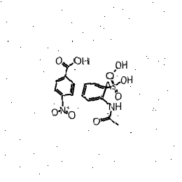 CC(=O)Nc1ccccc1[As](=O)(O)OO.O=C(O)c1ccc([N+](=O)[O-])cc1